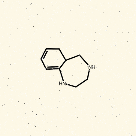 C1=CCC2CNCCNC2=C1